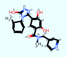 Cc1ccccc1-n1c(O)nnc1-c1cc(C(=O)N(C)Cc2ccncc2)c(O)cc1O